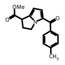 COC(=O)C1CCn2c(C(=O)c3ccc(C)cc3)ccc21